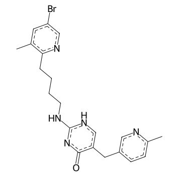 Cc1ccc(Cc2c[nH]c(NCCCCc3ncc(Br)cc3C)nc2=O)cn1